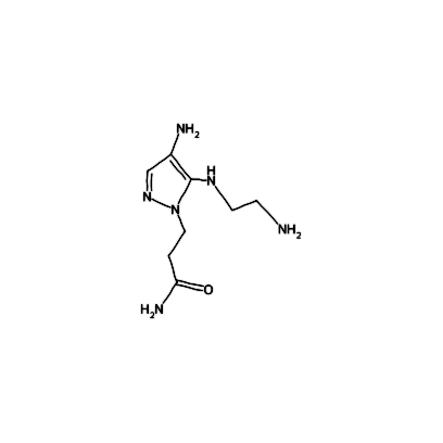 NCCNc1c(N)cnn1CCC(N)=O